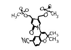 CC1(C)C=C(n2cc(COS(C)(=O)=O)c(COS(C)(=O)=O)cc2=O)c2cc(C#N)ccc2O1